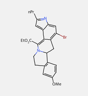 CCCC1=Nc2cc(Br)c3c(c2=C1)=C(C(=O)OCC)N1CCc2cc(OC)ccc2C1C3